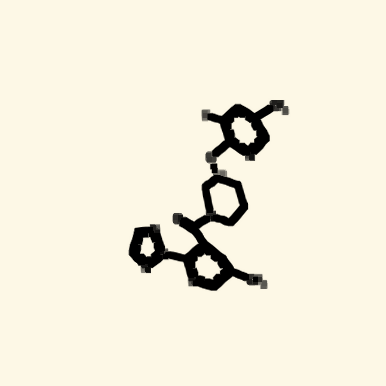 Cc1cnc(-n2nccn2)c(C(=O)N2CCC[C@@H](Oc3ncc(C(F)(F)F)cc3F)C2)c1